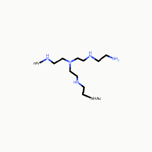 CCCNCCN(CCNCCN)CCNCCNC(C)=O